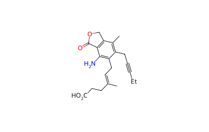 CCC#CCc1c(C)c2c(c(N)c1C/C=C(\C)CCC(=O)O)C(=O)OC2